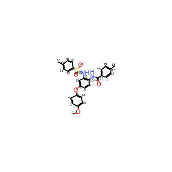 COc1ccc(Oc2ccc(NC(=O)c3ccc(C)cc3)c(NS(=O)(=O)c3ccc(C)cc3)c2)cc1